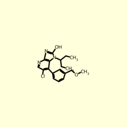 CCC(CC)n1c(O)nc2ncc(Cl)c(-c3cccc(COC)c3)c21